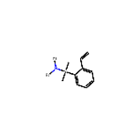 C=Cc1ccccc1[Si](C)(C)N(CC)CC